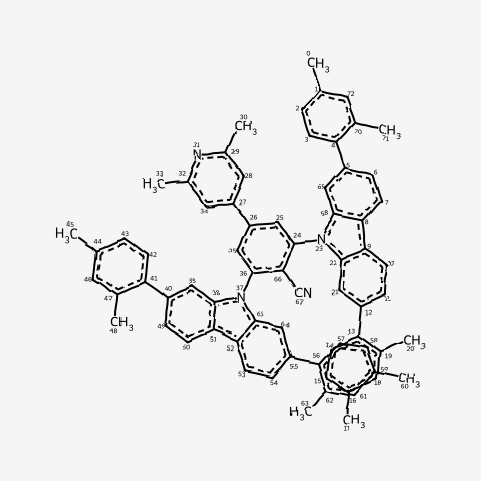 Cc1ccc(-c2ccc3c4ccc(-c5ccc(C)cc5C)cc4n(-c4cc(-c5cc(C)nc(C)c5)cc(-n5c6cc(-c7ccc(C)cc7C)ccc6c6ccc(-c7ccc(C)cc7C)cc65)c4C#N)c3c2)c(C)c1